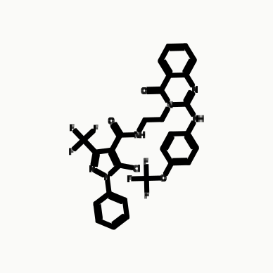 O=C(NCCn1c(Nc2ccc(OC(F)(F)F)cc2)nc2ccccc2c1=O)c1c(C(F)(F)F)nn(-c2ccccc2)c1Cl